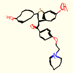 O=C(c1ccc(OCCN2CCCCC2)cc1)c1c(C2CCC(O)CC2)sc2cc(O)ccc12